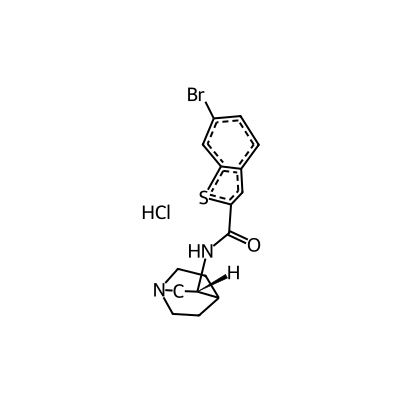 Cl.O=C(N[C@H]1CN2CCC1CC2)c1cc2ccc(Br)cc2s1